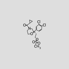 CS(=O)(=O)OCC[C@@]1(c2ccc(Cl)c(Cl)c2)CN(C(=O)C2CC2)CCO1